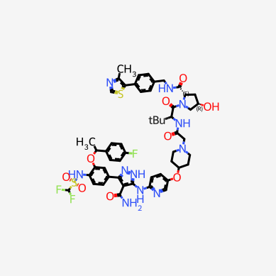 Cc1ncsc1-c1ccc(CNC(=O)[C@@H]2C[C@@H](O)CN2C(=O)C(NC(=O)CN2CCC(Oc3ccc(Nc4[nH]nc(-c5ccc(NS(=O)(=O)C(F)F)c(OC(C)c6ccc(F)cc6)c5)c4C(N)=O)nc3)CC2)C(C)(C)C)cc1